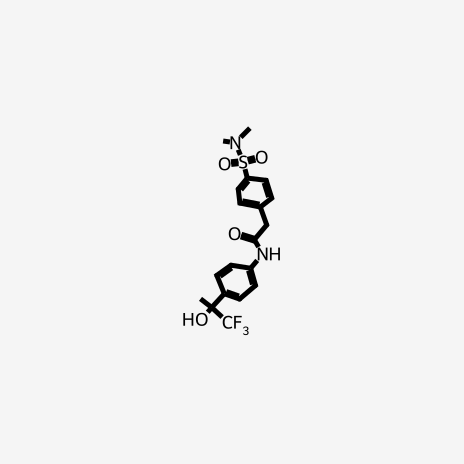 CN(C)S(=O)(=O)c1ccc(CC(=O)Nc2ccc(C(C)(O)C(F)(F)F)cc2)cc1